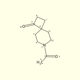 CC(=O)N1CCC2(CCC2=O)CC1